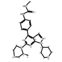 CNC(=O)Nc1ccc(-c2nc(N3CCOC[C@@H]3C)nc3c2cnn3C2CCOCC2)cc1